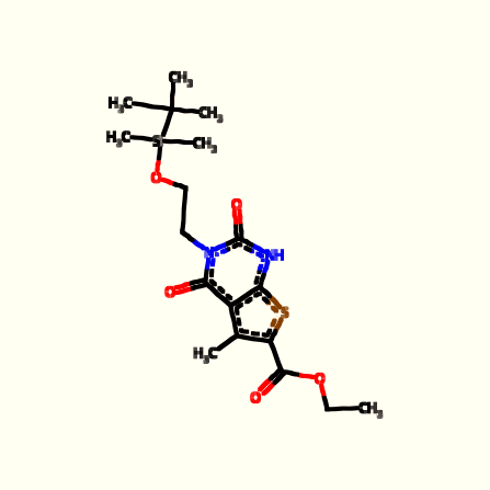 CCOC(=O)c1sc2[nH]c(=O)n(CCO[Si](C)(C)C(C)(C)C)c(=O)c2c1C